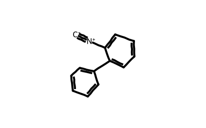 [C-]#[N+]c1ccccc1-c1ccccc1